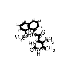 C=C1NC(=O)NC(C(=O)NC2CCCc3cccc(OC)c32)=C1N